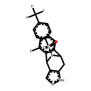 O=S(=O)(c1ccc(C(F)(F)F)cc1)N1C2Cc3[nH]ncc3C1c1c(F)cccc12